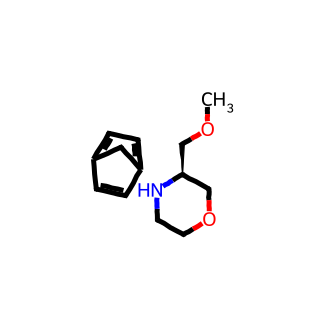 C1=CC2=CC=C1C2.COC[C@H]1COCCN1